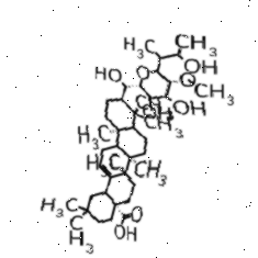 CO[C@@H]1C(O)C(O)[C@H](C(O)[C@@H]2CC[C@@]3(C)C(CC[C@]4(C)C3CC=C3C5CC(C)(C)CC[C@]5(C(=O)O)CC[C@]34C)C2(C)C)OC1C(C)C(C)O